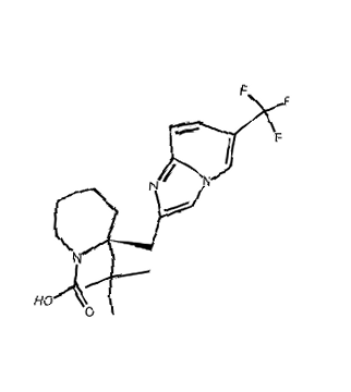 CC(C)(C)[C@@]1(Cc2cn3cc(C(F)(F)F)ccc3n2)CCCCN1C(=O)O